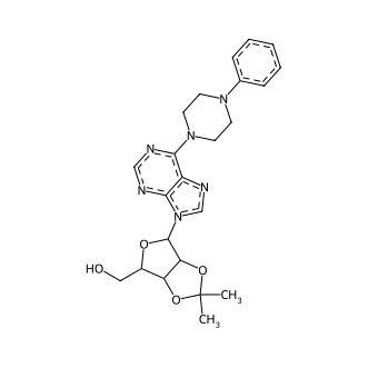 CC1(C)OC2C(CO)OC(n3cnc4c(N5CCN(c6ccccc6)CC5)ncnc43)C2O1